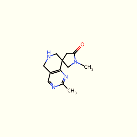 Cc1ncc2c(n1)C1(CNC2)CC(=O)N(C)C1